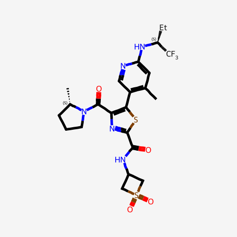 CC[C@H](Nc1cc(C)c(-c2sc(C(=O)NC3CS(=O)(=O)C3)nc2C(=O)N2CCC[C@@H]2C)cn1)C(F)(F)F